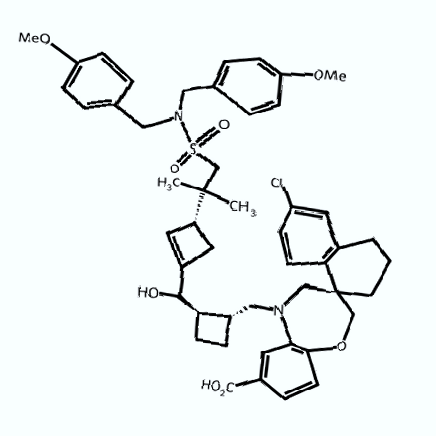 COc1ccc(CN(Cc2ccc(OC)cc2)S(=O)(=O)CC(C)(C)[C@H]2C=C(C(O)[C@@H]3CC[C@H]3CN3C[C@@]4(CCCc5cc(Cl)ccc54)COc4ccc(C(=O)O)cc43)C2)cc1